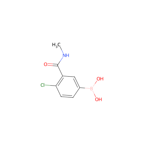 CNC(=O)c1cc(B(O)O)ccc1Cl